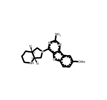 COc1ccc2oc3c(N4C[C@H]5CCCN[C@H]5C4)nc(N)nc3c2c1